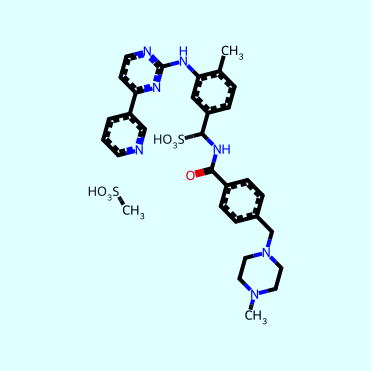 CS(=O)(=O)O.Cc1ccc(C(NC(=O)c2ccc(CN3CCN(C)CC3)cc2)S(=O)(=O)O)cc1Nc1nccc(-c2cccnc2)n1